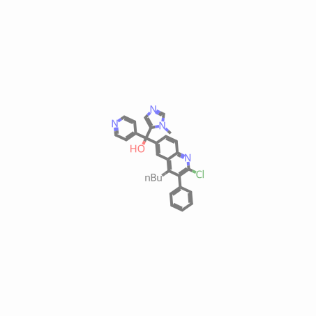 CCCCc1c(-c2ccccc2)c(Cl)nc2ccc(C(O)(c3ccncc3)c3cncn3C)cc12